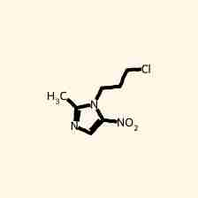 Cc1ncc([N+](=O)[O-])n1CCCCl